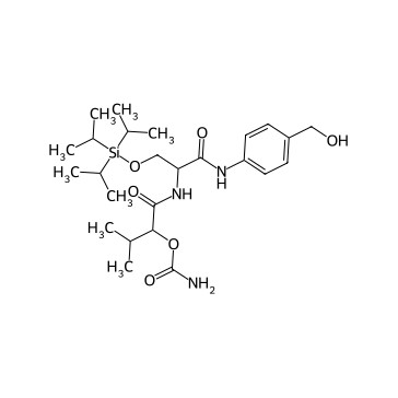 CC(C)C(OC(N)=O)C(=O)NC(CO[Si](C(C)C)(C(C)C)C(C)C)C(=O)Nc1ccc(CO)cc1